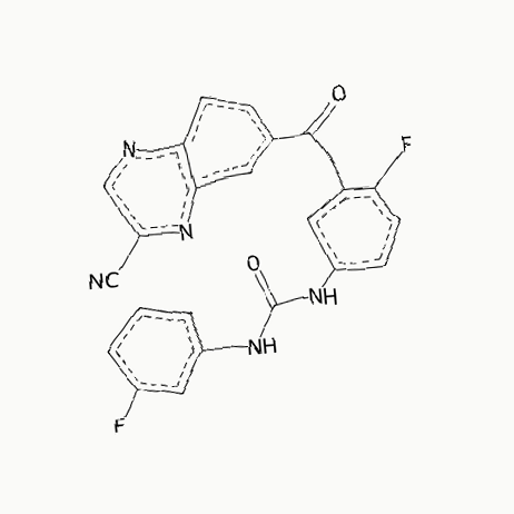 N#Cc1cnc2ccc(C(=O)c3cc(NC(=O)Nc4cccc(F)c4)ccc3F)cc2n1